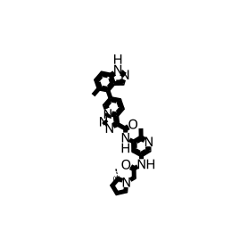 Cc1ccc2[nH]ncc2c1-c1ccc2c(C(=O)Nc3cc(NC(=O)CN4CCC[C@@H]4C)cnc3C)nnn2c1